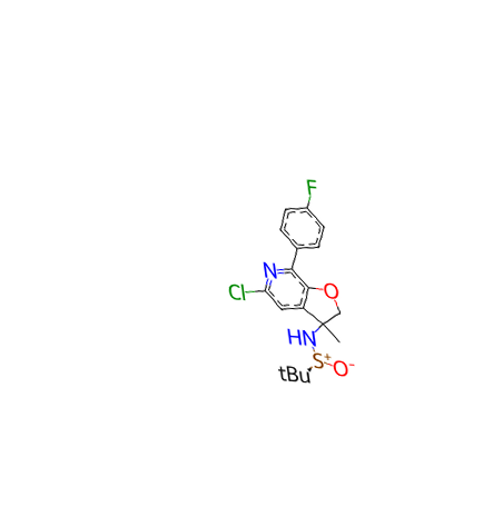 CC1(N[S@@+]([O-])C(C)(C)C)COc2c1cc(Cl)nc2-c1ccc(F)cc1